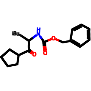 CCC(C)C(NC(=O)OCc1ccccc1)C(=O)C1CCCC1